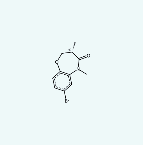 C[C@H]1COc2ccc(Br)cc2N(C)C1=O